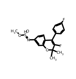 CO[SH](=O)=Nc1ccc2c(c1)OC(C)(C)C(F)=C2c1ccc(F)cc1